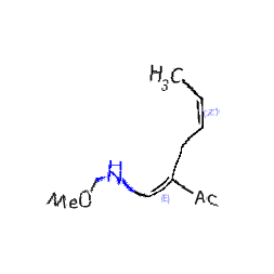 C/C=C\C/C(=C\NOC)C(C)=O